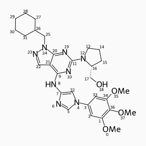 COc1cc(-n2cnc(Nc3nc(N4CCC[C@@H]4CO)nc4c3cnn4CC3CCCCC3)c2)cc(OC)c1OC